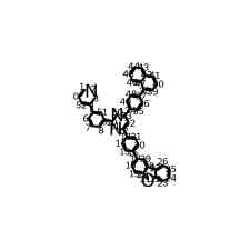 c1cncc(-c2cccc(-c3nc(-c4ccc(-c5ccc6oc7ccccc7c6c5)cc4)cc(-c4ccc(-c5cccc6ccccc56)cc4)n3)c2)c1